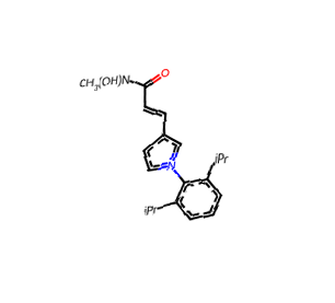 CC(C)c1cccc(C(C)C)c1-n1ccc(/C=C/C(=O)N(C)O)c1